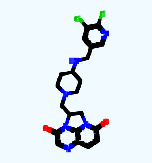 O=c1ccc2ncc(=O)n3c2n1CC3CN1CCC(NCc2cnc(Cl)c(Cl)c2)CC1